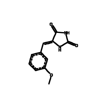 COc1cccc(/C=C2\NC(=O)NC2=O)c1